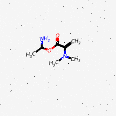 C=C(C(=O)OC(C)N)N(C)C